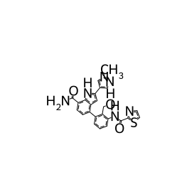 Cn1cc(-c2cc3c(-c4cccc(NC(=O)c5nccs5)c4CO)ccc(C(N)=O)c3[nH]2)cn1